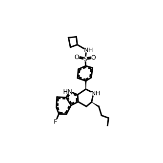 CCCC[C@H]1Cc2c([nH]c3ccc(F)cc23)[C@@H](c2ccc(S(=O)(=O)NC3CCC3)cc2)N1